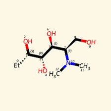 CC[C@H](O)[C@@H](O)[C@@H](O)[C@@H](CO)N(C)C